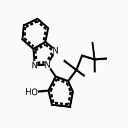 CC(C)(C)CC(C)(C)c1cccc(O)c1-n1nc2ccccc2n1